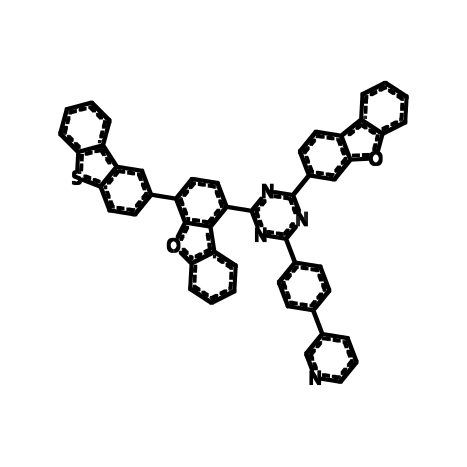 c1cncc(-c2ccc(-c3nc(-c4ccc5c(c4)oc4ccccc45)nc(-c4ccc(-c5ccc6sc7ccccc7c6c5)c5oc6ccccc6c45)n3)cc2)c1